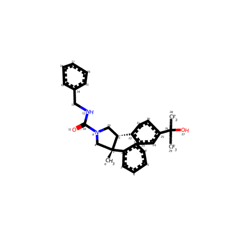 C[C@@]1(c2ccccc2)CN(C(=O)NCc2ccccc2)C[C@@H]1c1ccc(C(O)(C(F)(F)F)C(F)(F)F)cc1